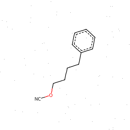 N#COCCCCc1ccccc1